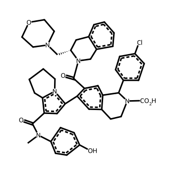 CN(C(=O)c1cc(-c2cc3c(cc2C(=O)N2Cc4ccccc4C[C@H]2CN2CCOCC2)C(c2ccc(Cl)cc2)N(C(=O)O)CC3)n2c1CCCC2)c1ccc(O)cc1